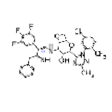 Cc1nc(C2OC3COC3C(N/C=C(\C(=N)Cc3ccccc3)c3cc(F)c(F)c(F)c3)C2O)n(-c2cc(Cl)ccc2C(F)(F)F)n1